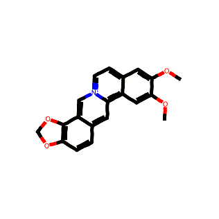 COc1cc2cc[n+]3cc4c5c(ccc4cc3c2cc1OC)OCO5